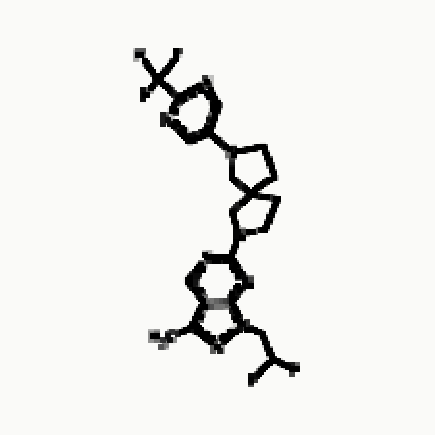 Cc1nn(CC(F)F)c2nc(N3CCC4(CCN(c5cnc(C(F)(F)F)nc5)C4)C3)ncc12